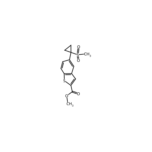 COC(=O)c1cc2cc(C3(S(C)(=O)=O)CC3)ccc2s1